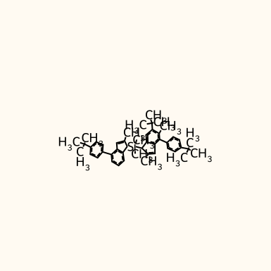 CC1=Cc2c(-c3ccc(C(C)(C)C)cc3)cccc2C1[Si](C)(C)C1C(C)=Cc2c1cc(C(C)(C)C)c(C)c2-c1ccc(C(C)(C)C)cc1